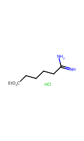 CCOC(=O)CCCCC(=N)N.Cl